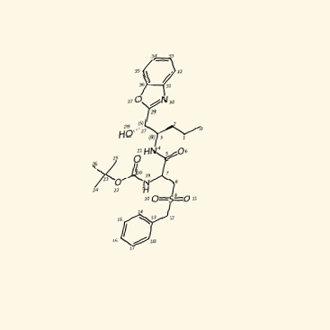 CCC[C@@H](NC(=O)C(CS(=O)(=O)Cc1ccccc1)NC(=O)OC(C)(C)C)[C@H](O)c1nc2ccccc2o1